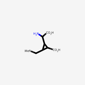 CNCC1C(C(=O)O)C1C(N)C(=O)O